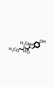 CN[C@@H](Cc1ccc(O)cc1)C(=O)NCCOC